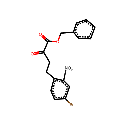 O=C(CCc1ccc(Br)cc1[N+](=O)[O-])C(=O)OCc1ccccc1